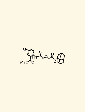 COC(=O)c1cc(Cl)ccc1NC(=O)COCC(=O)NC12CC3CC(CC(C3)C1)C2